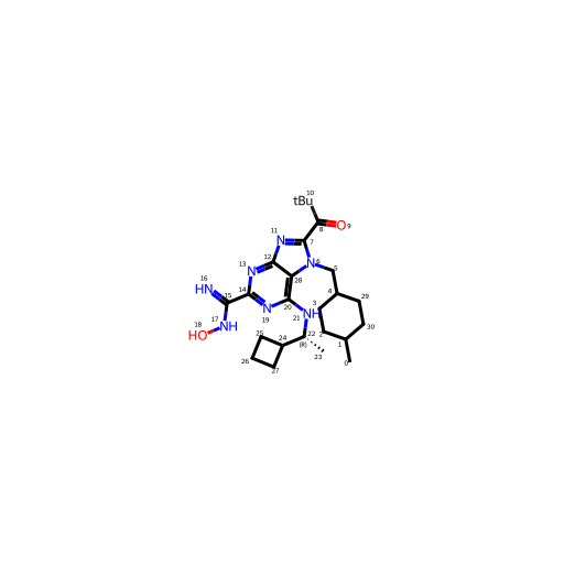 CC1CCC(Cn2c(C(=O)C(C)(C)C)nc3nc(C(=N)NO)nc(N[C@H](C)C4CCC4)c32)CC1